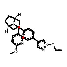 CCOn1cc(-c2ccc(N3C[C@H]4CC[C@@H](C3)N4Cc3ccc(OC)nc3)nc2)cn1